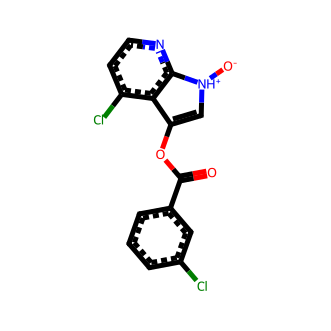 O=C(OC1=C[NH+]([O-])c2nccc(Cl)c21)c1cccc(Cl)c1